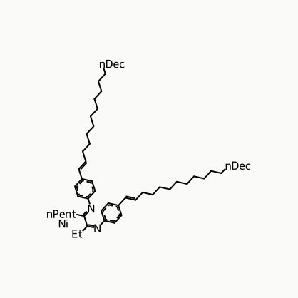 CCCCCCCCCCCCCCCCCCCCC=Cc1ccc(N=C(CC)C(CCCCC)=Nc2ccc(C=CCCCCCCCCCCCCCCCCCCCC)cc2)cc1.[Ni]